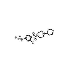 COc1ccc(S(=O)(=O)N2CCN(C3CCOCC3)CC2)c(Cl)n1